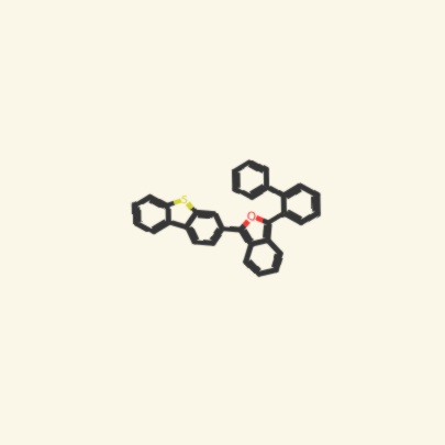 c1ccc(-c2ccccc2-c2oc(-c3ccc4c(c3)sc3ccccc34)c3ccccc23)cc1